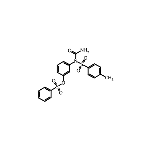 Cc1ccc(S(=O)(=O)N(C(N)=O)c2cccc(OS(=O)(=O)c3ccccc3)c2)cc1